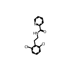 O=C(NCCc1c(Cl)cccc1Cl)c1ccccn1